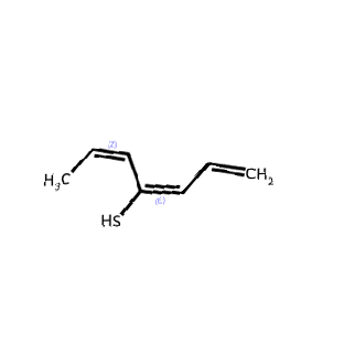 C=C/C=C(S)\C=C/C